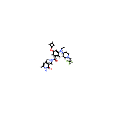 CCN(c1cc(OC2CCC2)cc(C(=O)NCc2c(C)cc(C)[nH]c2=O)c1C)C1CCN(CC(F)(F)F)CC1